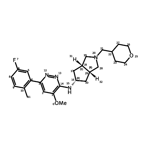 COc1cc(-c2cc(F)ccc2C)nnc1N[C@@H]1C[C@@H]2CN(CC3CCOCC3)C[C@@H]2C1